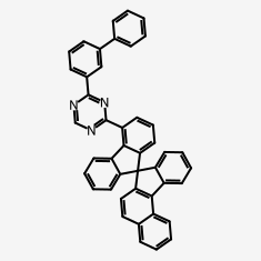 c1ccc(-c2cccc(-c3ncnc(-c4cccc5c4-c4ccccc4C54c5ccccc5-c5c4ccc4ccccc54)n3)c2)cc1